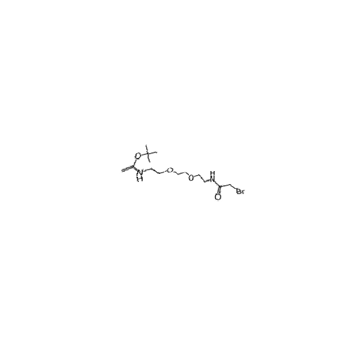 C=C(NCCOCCOCCNC(=O)CBr)OC(C)(C)C